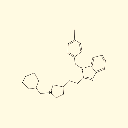 Cc1ccc(Cn2c(CCC3CCN(CC4CCCCC4)C3)nc3ccccc32)cc1